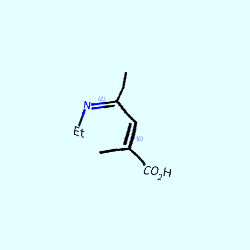 CC/N=C(C)\C=C(/C)C(=O)O